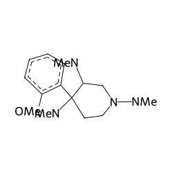 CNC1CN(NC)CCC1(NC)c1ccccc1OC